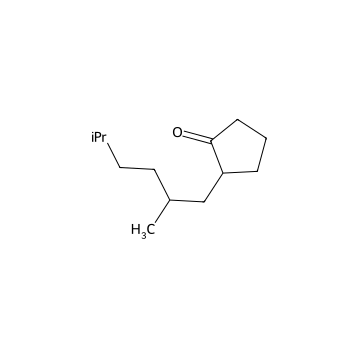 CC(C)CCC(C)CC1CCCC1=O